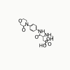 NC(CP(=O)(O)O)C(=O)Nc1ccc(N2CCOCC2=O)cc1